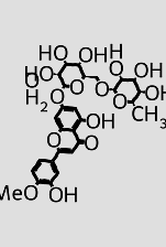 COc1ccc(-c2cc(=O)c3c(O)cc(O[C@@H]4O[C@H](CO[C@@H]5O[C@@H](C)[C@H](O)[C@@H](O)[C@H]5O)[C@@H](O)[C@H](O)[C@H]4O)cc3o2)cc1O.O